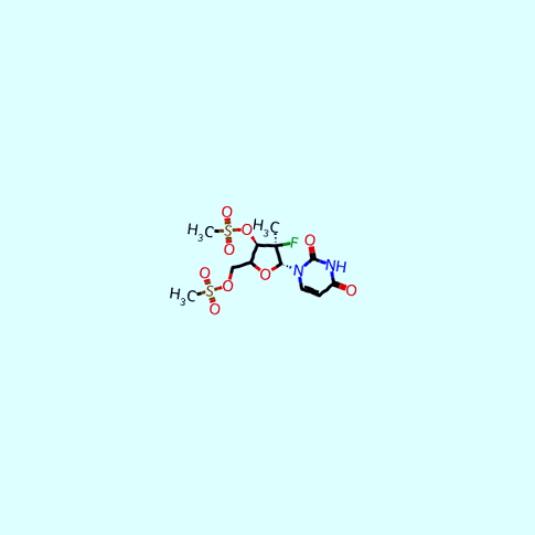 C[C@@]1(F)[C@H](OS(C)(=O)=O)C(COS(C)(=O)=O)O[C@H]1n1ccc(=O)[nH]c1=O